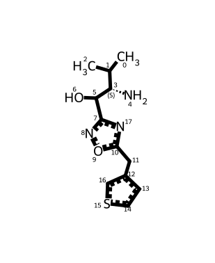 CC(C)[C@H](N)C(O)c1noc(Cc2ccsc2)n1